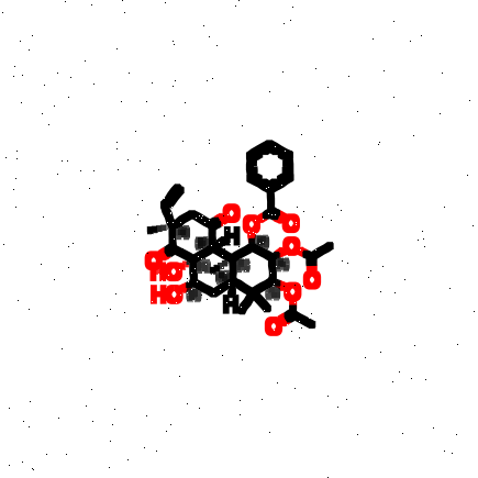 C=C[C@@]1(C)CC(=O)[C@H]2[C@](O)(C1=O)[C@H](O)C[C@H]1C(C)(C)[C@H](OC(C)=O)[C@H](OC(C)=O)[C@H](OC(=O)c3ccccc3)[C@@]12C